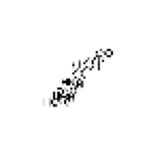 O=C1CCC(c2ccc(-c3nc4nc(O[C@@H]5CO[C@H]6[C@@H]5OC[C@H]6O)[nH]c4cc3Cl)cc2)N1